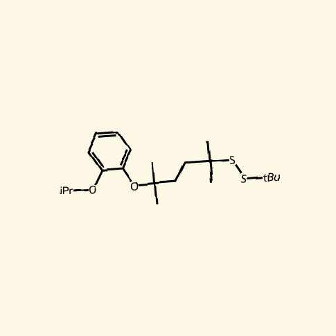 CC(C)Oc1ccccc1OC(C)(C)CCC(C)(C)SSC(C)(C)C